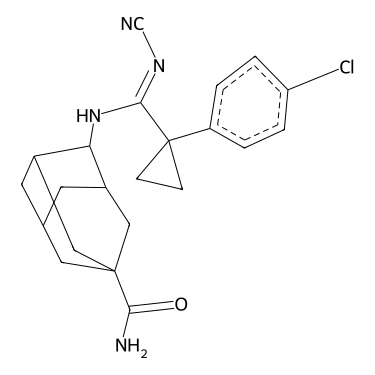 N#C/N=C(\NC1C2CC3CC1CC(C(N)=O)(C3)C2)C1(c2ccc(Cl)cc2)CC1